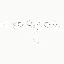 COCc1nnc(-c2ccc(NC(=O)[C@H](Cc3ccc(-c4ccc(C(=O)NC5CCNCC5)cc4C)cc3)NC(=O)C3CCC(CN)CC3)cc2)[nH]1